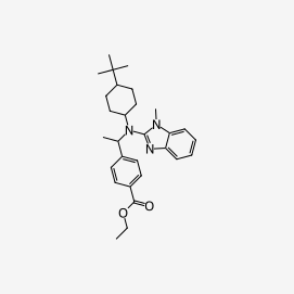 CCOC(=O)c1ccc(C(C)N(c2nc3ccccc3n2C)C2CCC(C(C)(C)C)CC2)cc1